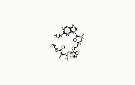 CC(C)OC(=O)[C@H](C)NC[P@@](=O)(O)OC[C@@H]1C[C@H](C)[C@H](n2cnc3cnc(N)nc32)O1